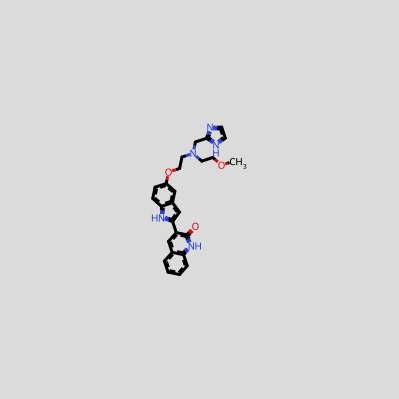 COCCN(CCOc1ccc2[nH]c(-c3cc4ccccc4[nH]c3=O)cc2c1)Cc1ncc[nH]1